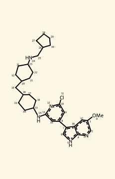 COc1cnc2[nH]cc(-c3cc(Cl)nc(NC4CCC(CC5CCC(NCC6CCCC6)CC5)CC4)c3)c2c1